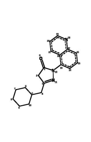 O=C1CC(CC2CCCCC2)=NN1c1cccc2ncccc12